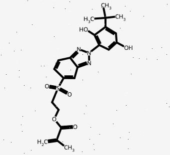 C=C(C)C(=O)OCCS(=O)(=O)c1ccc2nn(-c3cc(O)cc(C(C)(C)C)c3O)nc2c1